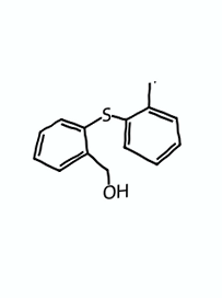 [CH2]c1ccccc1Sc1ccccc1CO